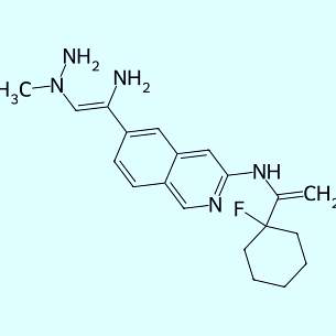 C=C(Nc1cc2cc(/C(N)=C/N(C)N)ccc2cn1)C1(F)CCCCC1